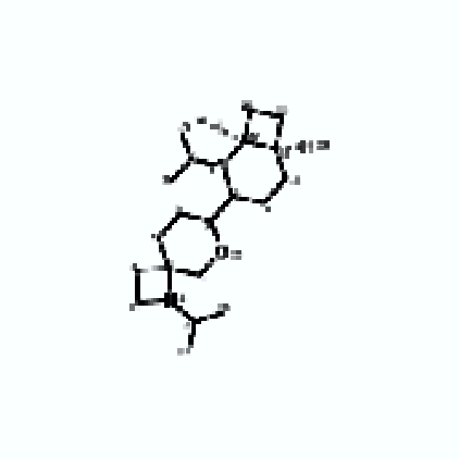 CC(C)N1C(C2CCC3(CCN3C(C)C)CO2)CC[C@@H]2CC[C@@H]21